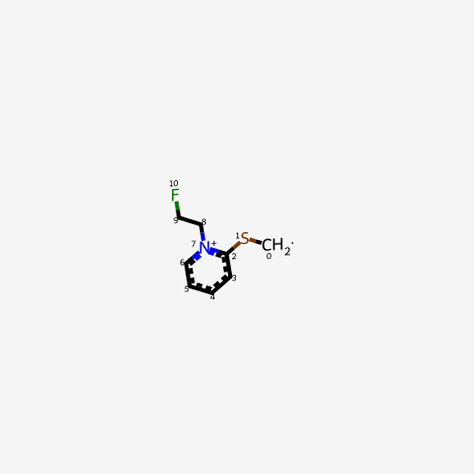 [CH2]Sc1cccc[n+]1CCF